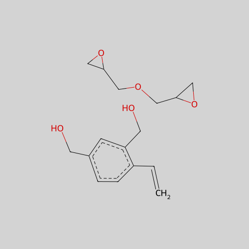 C(OCC1CO1)C1CO1.C=Cc1ccc(CO)cc1CO